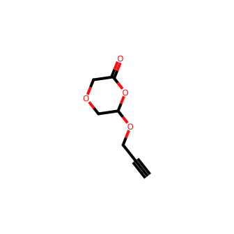 C#CCOC1COCC(=O)O1